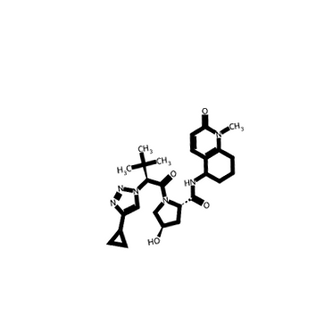 Cn1c2c(ccc1=O)C(NC(=O)[C@@H]1C[C@@H](O)CN1C(=O)[C@@H](n1cc(C3CC3)nn1)C(C)(C)C)CCC2